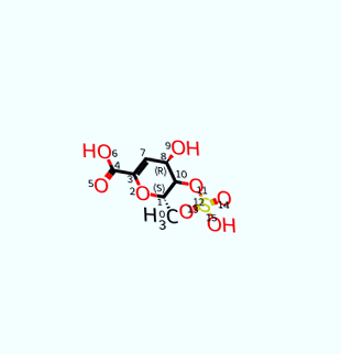 C[C@@H]1OC(C(=O)O)=C[C@@H](O)C1OS(=O)(=O)O